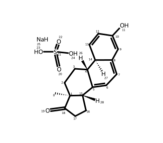 C[C@]12CC[C@H]3C(=CC=C4C=C(O)C=C[C@@H]43)[C@@H]1CCC2=O.O=S(=O)(O)O.[NaH]